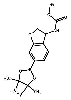 CC(C)(C)OC(=O)NC1COc2cc(B3OC(C)(C)C(C)(C)O3)ccc21